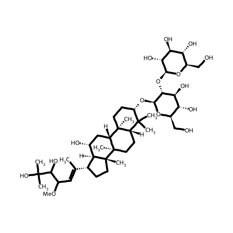 COC(/C=C(\C)[C@H]1CC[C@]2(C)[C@@H]1[C@H](O)C[C@@H]1[C@@]3(C)CC[C@H](O[C@@H]4O[C@H](CO)[C@@H](O)[C@H](O)[C@H]4O[C@@H]4O[C@H](CO)[C@@H](O)[C@H](O)[C@H]4O)C(C)(C)[C@@H]3CC[C@]12C)C(O)C(C)(C)O